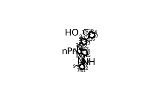 CCCc1nc2c(-c3nc4c(C)cccc4[nH]3)cccc2n1Cc1ccc(-c2ccccc2C(=O)O)cc1